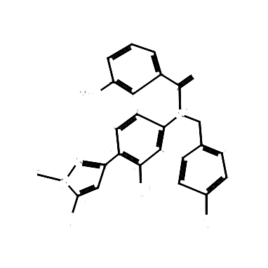 COc1cccc(C(=O)N(Cc2ccc(Cl)cc2)c2ccc(-c3cc(C(F)(F)F)n(C)n3)c(O)c2)c1